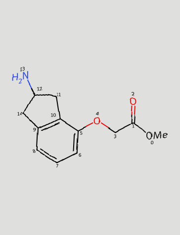 COC(=O)COc1cccc2c1CC(N)C2